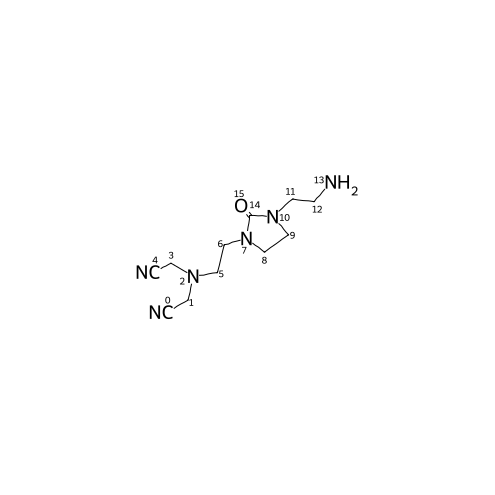 N#CCN(CC#N)CCN1CCN(CCN)C1=O